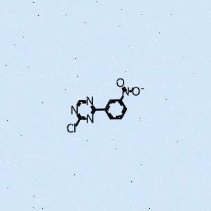 O=[N+]([O-])c1cccc(-c2ncnc(Cl)n2)c1